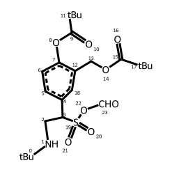 CC(C)(C)NCC(c1ccc(OC(=O)C(C)(C)C)c(COC(=O)C(C)(C)C)c1)S(=O)(=O)OC=O